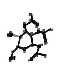 CC(=O)OC1OC(CO)[C@H](O)C(OC(C)=O)C1OC(C)=O